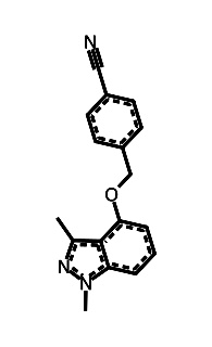 Cc1nn(C)c2cccc(OCc3ccc(C#N)cc3)c12